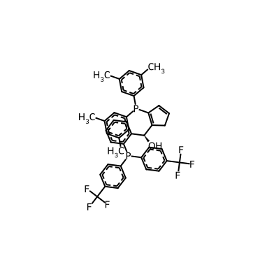 Cc1cc(C)cc(P(C2=C([C@@H](O)c3ccccc3P(c3ccc(C(F)(F)F)cc3)c3ccc(C(F)(F)F)cc3)CC=C2)c2cc(C)cc(C)c2)c1